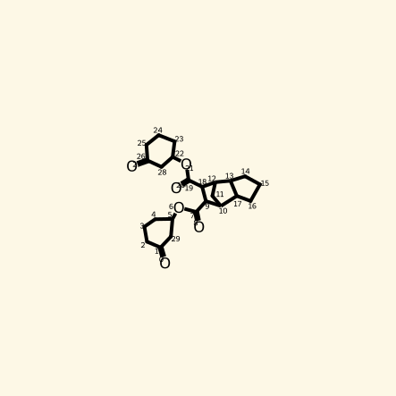 O=C1CCCC(OC(=O)C2C3CC(C4CCCC43)C2C(=O)OC2CCCC(=O)C2)C1